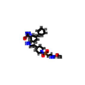 CCONCCS(=O)(=O)N1CCC(c2c[nH]c3c(C(N)=O)cc(-c4ccccc4)cc23)CC1